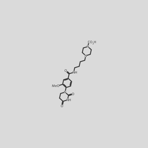 COc1cc(C(=O)NCCCCN2CCN(C(=O)O)CC2)ccc1N1CCC(=O)NC1=O